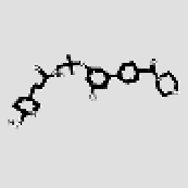 CC(C)(CNC(=O)C=Cc1ccc(N)nc1)Oc1cc(Cl)cc(-c2ccc(C(=O)N3CCOCC3)cc2)c1